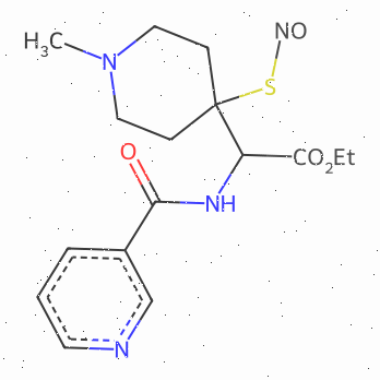 CCOC(=O)C(NC(=O)c1cccnc1)C1(SN=O)CCN(C)CC1